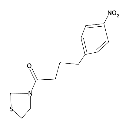 O=C(CCCc1ccc([N+](=O)[O-])cc1)N1CCSC1